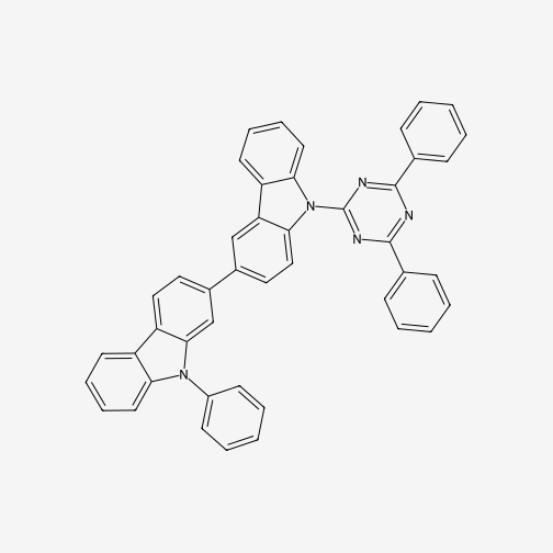 c1ccc(-c2nc(-c3ccccc3)nc(-n3c4ccccc4c4cc(-c5ccc6c7ccccc7n(-c7ccccc7)c6c5)ccc43)n2)cc1